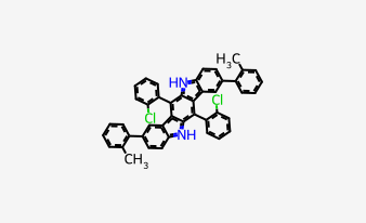 Cc1ccccc1-c1ccc2[nH]c3c(-c4ccccc4Cl)c4c([nH]c5ccc(-c6ccccc6C)cc54)c(-c4ccccc4Cl)c3c2c1